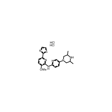 COc1ccc(-c2nccs2)nc1Nc1ccc(N2CC(C)NC(C)C2)cn1.Cl.Cl